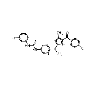 Cc1cc(C(C)c2ccc(NC(=S)Nc3cccc(Cl)c3)cn2)[nH]c1C(=O)c1ccc(Cl)cc1